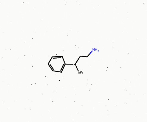 CCCC(CCN)c1ccccc1